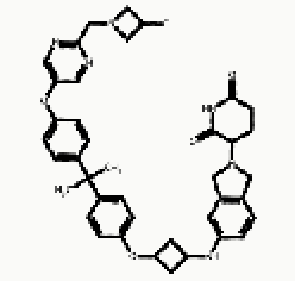 CC(C)(c1ccc(Oc2cnc(CN3CC(F)C3)nc2)cc1)c1ccc(OC2CC(Nc3ccc4c(c3)CN(C3CCC(=O)NC3=O)C4)C2)cc1